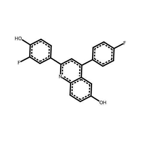 Oc1ccc2nc(-c3ccc(O)c(F)c3)cc(-c3ccc(F)cc3)c2c1